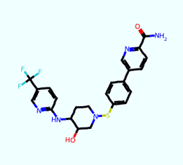 NC(=O)c1ccc(-c2ccc(SN3CCC(Nc4ccc(C(F)(F)F)cn4)C(O)C3)cc2)cn1